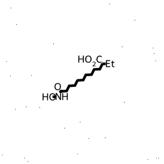 CCC(CCCCCCCCCC(=O)NO)C(=O)O